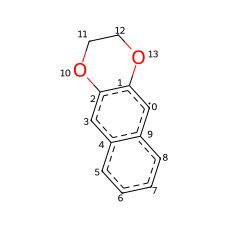 [c]1c2c(cc3ccccc13)OCCO2